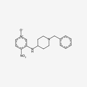 O=[N+]([O-])c1cc[n+]([O-])cc1NC1CCN(Cc2ccccc2)CC1